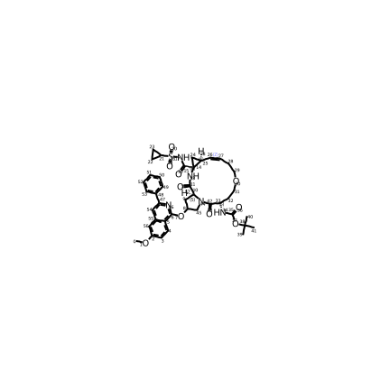 COc1ccc2c(OC3C[C@H]4C(=O)N[C@]5(C(=O)NS(=O)(=O)C6CC6)C[C@H]5/C=C\CCOCC[C@H](NC(=O)OC(C)(C)C)C(=O)N4C3)nc(-c3ccccc3)cc2c1